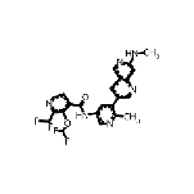 CNc1cc2ncc(-c3cc(NC(=O)c4ccnc(C(F)F)c4OC(F)F)cnc3C)cc2cn1